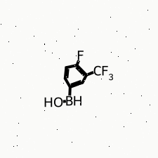 OBc1ccc(F)c(C(F)(F)F)c1